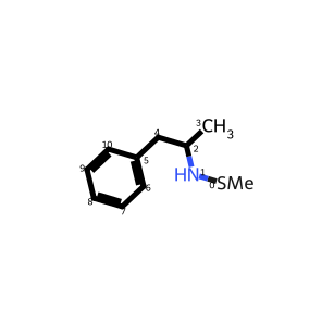 CSNC(C)Cc1ccccc1